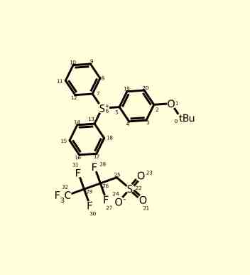 CC(C)(C)Oc1ccc([S+](c2ccccc2)c2ccccc2)cc1.O=S(=O)([O-])CC(F)(F)C(F)(F)C(F)(F)F